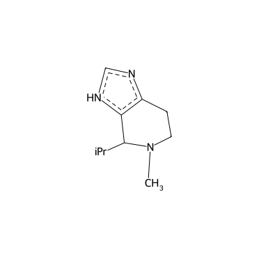 CC(C)C1c2[nH]cnc2CCN1C